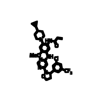 C=CC(=O)Nc1cc(Nc2cc(N3OCCC3c3cc(Cl)cc(C(F)(F)F)c3)ncn2)c(OC)cc1N1CCC(C2CC2)CC1